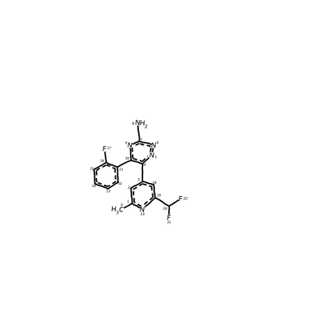 Cc1cc(-c2nnc(N)nc2-c2ccccc2F)cc(C(F)F)n1